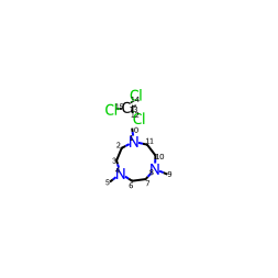 CN1CCN(C)CCN(C)CC1.[Cl][Cr]([Cl])[Cl]